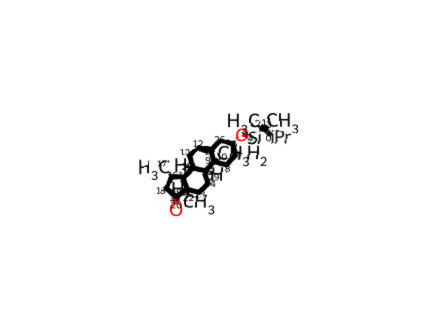 CC(C)C(C)(C)[SiH2]O[C@H]1CC[C@@]2(C)C(=CC[C@H]3[C@@H]4[C@H](C)CC(=O)[C@@]4(C)CC[C@@H]32)C1